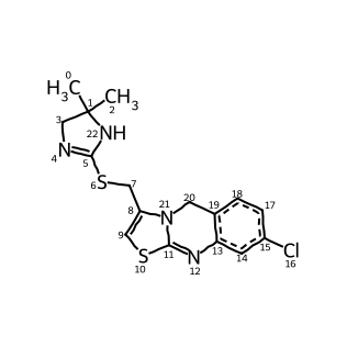 CC1(C)CN=C(SCC2=CSC3=Nc4cc(Cl)ccc4CN23)N1